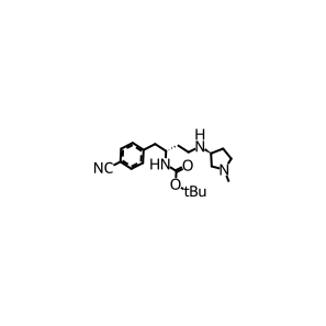 CN1CC[C@H](NCC[C@@H](Cc2ccc(C#N)cc2)NC(=O)OC(C)(C)C)C1